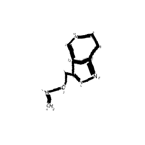 C=NOCC1=NN=C2CC=NC=C21